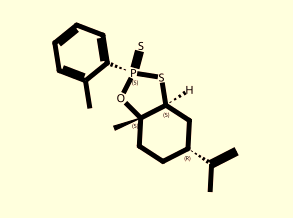 C=C(C)[C@@H]1CC[C@]2(C)O[P@](=S)(c3ccccc3C)S[C@H]2C1